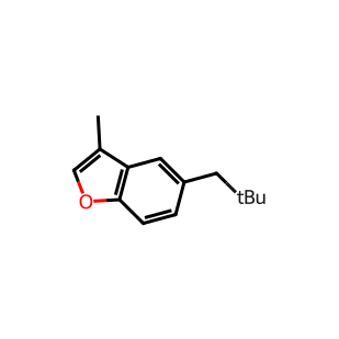 Cc1coc2ccc(CC(C)(C)C)cc12